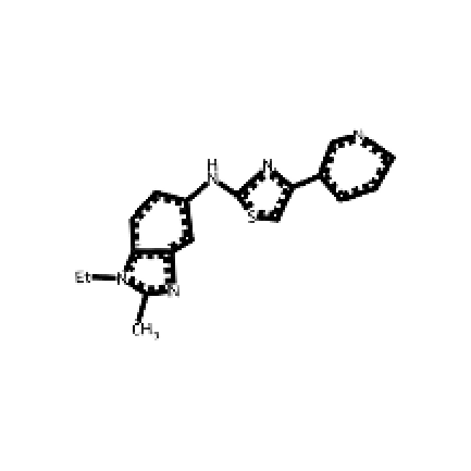 CCn1c(C)nc2cc(Nc3nc(-c4cccnc4)cs3)ccc21